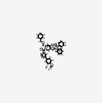 CC(C)(C[C@@H]1C=C[C@H](COCc2ccccc2)N(C(=O)n2cc(-c3ccc(OC(F)(F)F)cc3)nn2)C1)[Si](O)(c1ccccc1)c1ccccc1